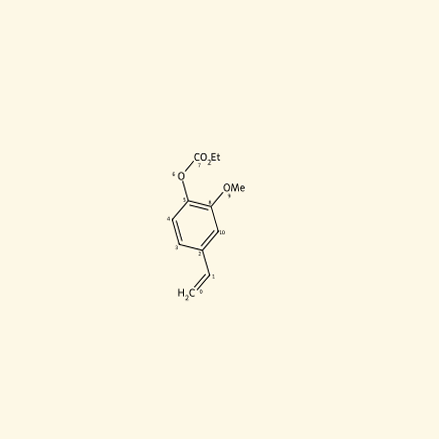 C=Cc1ccc(OC(=O)OCC)c(OC)c1